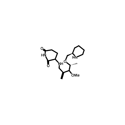 C=C(CNC1CCC(=O)NC1=O)C(OC)[C@@H](C)OC[C@H]1CCCCN1